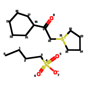 CCCCS(=O)(=O)[O-].O=C(C[S+]1CCCC1)C1CCCCC1